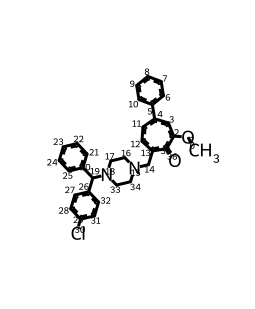 COc1cc(-c2ccccc2)ccc(CN2CCN(C(c3ccccc3)c3ccc(Cl)cc3)CC2)c1=O